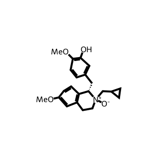 COc1ccc2c(c1)CC[N+]([O-])(CC1CC1)[C@H]2Cc1ccc(OC)c(O)c1